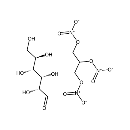 O=C[C@H](O)[C@@H](O)[C@H](O)[C@H](O)CO.O=[N+]([O-])OCC(CO[N+](=O)[O-])O[N+](=O)[O-]